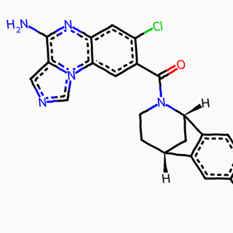 Nc1nc2cc(Cl)c(C(=O)N3CC[C@@H]4C[C@H]3c3ccc(Cl)cc34)cc2n2cncc12